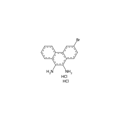 Cl.Cl.Nc1c(N)c2ccc(Br)cc2c2ccccc12